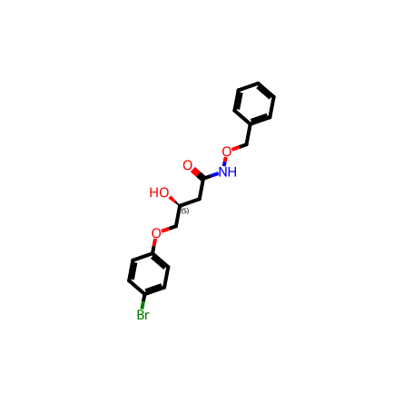 O=C(C[C@H](O)COc1ccc(Br)cc1)NOCc1ccccc1